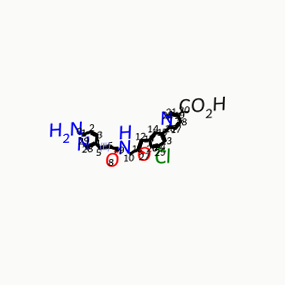 Nc1ccc(/C=C/C(=O)NCc2cc3cc(-c4ccc(C(=O)O)cn4)cc(Cl)c3o2)cn1